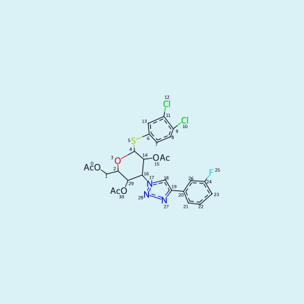 CC(=O)OCC1OC(Sc2ccc(Cl)c(Cl)c2)C(OC(C)=O)C(n2cc(-c3cccc(F)c3)nn2)C1OC(C)=O